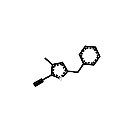 C#Cc1oc(Cc2ccccc2)cc1C